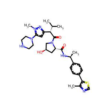 Cc1ncsc1-c1ccc([C@H](C)NC(=O)[C@@H]2C[C@@H](O)CN2C(=O)[C@H](c2cc(N3CCNCC3)n(C)n2)C(C)C)cc1